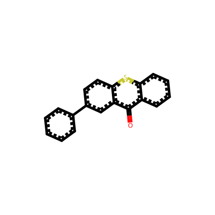 O=c1c2ccccc2sc2ccc(-c3ccccc3)cc12